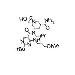 COCCCNc1nc(C(C)(C)C)ncc1C(=O)N(CC(C)C)[C@H]1C[C@@H](C(N)=O)CN(C(=O)O)C1